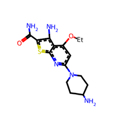 CCOc1cc(N2CCC(N)CC2)nc2sc(C(N)=O)c(N)c12